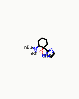 CCCCN(CCCC)C1CCCCC1(OC=O)c1ncc[nH]1